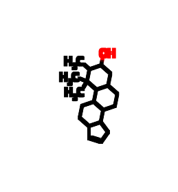 CC1C(O)CC2CCC3C4CC=CC4CCC3C2C1(C)C